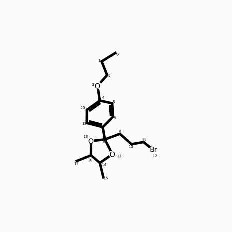 CCCOc1ccc(C2(CCCBr)OC(C)C(C)O2)cc1